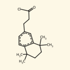 CC1(C)CCC(C)(C)c2cc(CCC(=O)Cl)ccc21